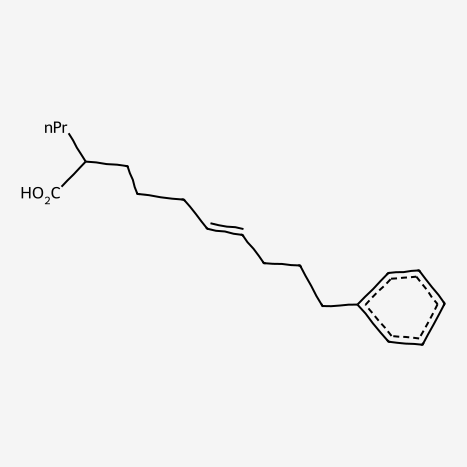 CCCC(CCCC=CCCCc1ccccc1)C(=O)O